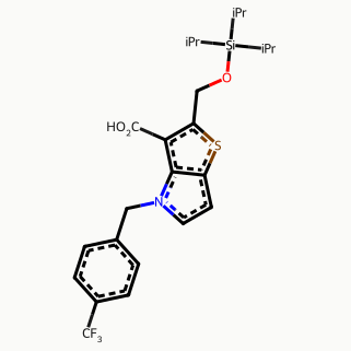 CC(C)[Si](OCc1sc2ccn(Cc3ccc(C(F)(F)F)cc3)c2c1C(=O)O)(C(C)C)C(C)C